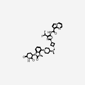 CN(C[C@H]1C[C@H](c2nc(C(F)F)c(NC(=O)c3ccn4cccnc34)s2)C1)C1CCN(c2cccc3c2n(C)c(=O)n3C2CCC(=O)NC2=O)CC1